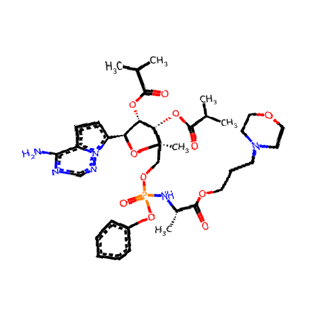 CC(C)C(=O)O[C@H]1[C@H](c2ccc3c(N)ncnn23)O[C@](C)(COP(=O)(N[C@@H](C)C(=O)OCCCN2CCOCC2)Oc2ccccc2)[C@H]1OC(=O)C(C)C